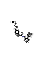 O=C(/C=C/c1cnccc1-c1cn[nH]c1)Nc1ccc(CNCCO)cc1